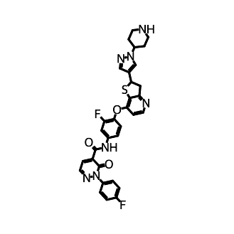 O=C(Nc1ccc(Oc2ccnc3c2SC(c2cnn(C4CCNCC4)c2)C3)c(F)c1)c1ccnn(-c2ccc(F)cc2)c1=O